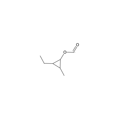 CCC1C(C)C1O[C]=O